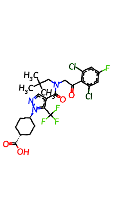 CC(C)(C)CN(CC(=O)c1c(Cl)cc(F)cc1Cl)C(=O)c1cnn([C@H]2CC[C@H](C(=O)O)CC2)c1C(F)(F)F